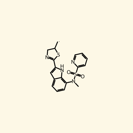 [CH2]C1CN=C(c2cc3cccc(N(C)S(=O)(=O)c4ccccn4)c3[nH]2)S1